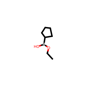 CCOB(O)C1CCCC1